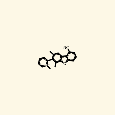 Cc1cc2c(oc3cccc(C#N)c32)c(C)c1-c1cccc[n+]1C